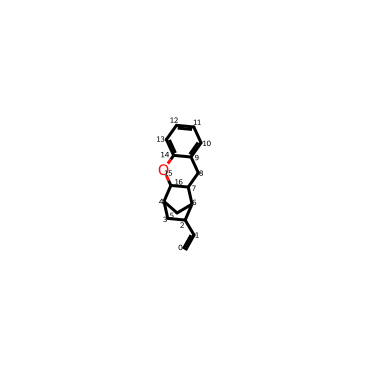 C=CC1CC2CC1C1Cc3ccccc3OC21